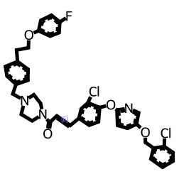 O=C(/C=C/c1ccc(Oc2ccc(OCc3ccccc3Cl)cn2)c(Cl)c1)N1CCN(Cc2ccc(CCOc3ccc(F)cc3)cc2)CC1